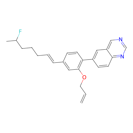 C=CCOc1cc(C=CCCCC(C)F)ccc1-c1ccc2ncncc2c1